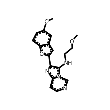 COCCNc1c(-c2cc3cc(OC)ccc3o2)nc2ccncn12